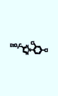 CCOC(=O)c1cnn(-c2ccc(Cl)cc2Cl)n1